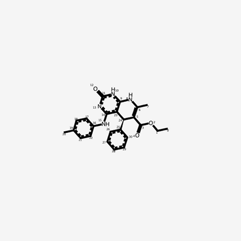 CCOC(=O)C1=C(C)Nc2[nH]c(=O)nc(Nc3ccc(C)cc3)c2[C@@H]1c1ccccc1